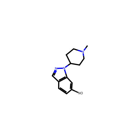 CN1CCC(n2ncc3ccc(N=O)cc32)CC1